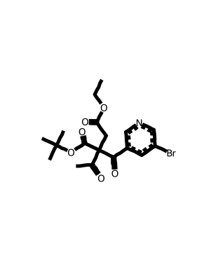 CCOC(=O)CC(C(C)=O)(C(=O)OC(C)(C)C)C(=O)c1cncc(Br)c1